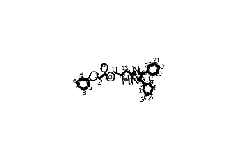 O=C(COc1ccccc1)OCCCc1nc(-c2ccccc2)c(-c2ccccc2)[nH]1